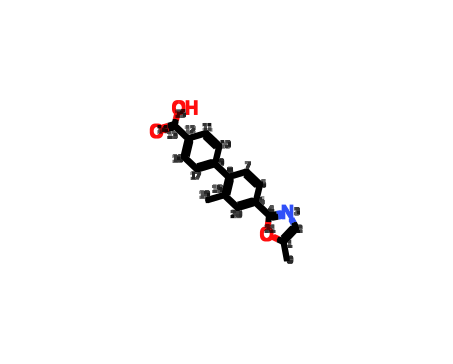 Cc1cnc(-c2ccc(-c3ccc(C(=O)O)cc3)c(C)c2)o1